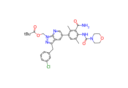 Cc1cc(-c2cnc3c(c2)c(Cc2cccc(Cl)c2)nn3COC(=O)C(C)(C)C)c(C)c(C(N)=O)c1NC(=O)N1CCOCC1